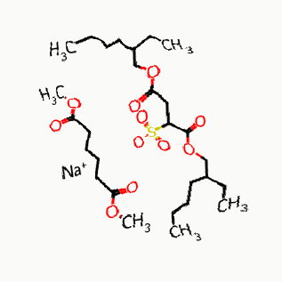 CCCCC(CC)COC(=O)CC(C(=O)OCC(CC)CCCC)S(=O)(=O)[O-].COC(=O)CCCCC(=O)OC.[Na+]